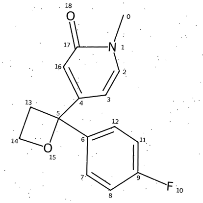 Cn1ccc(C2(c3ccc(F)cc3)CCO2)cc1=O